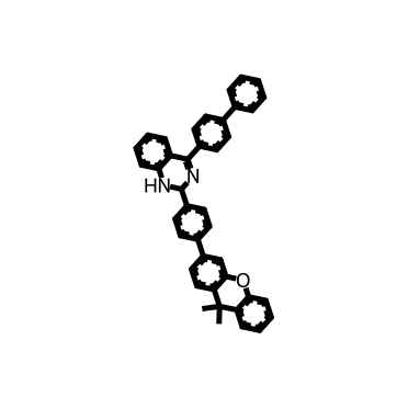 CC1(C)c2ccccc2Oc2cc(-c3ccc(C4N=C(c5ccc(-c6ccccc6)cc5)c5ccccc5N4)cc3)ccc21